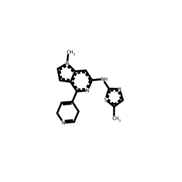 Cc1cnc(Nc2cc3c(ccn3C)c(C3=CCN=CC3)n2)s1